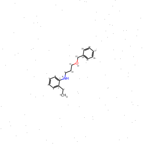 CCc1ccccc1NCCCOCc1ccccc1